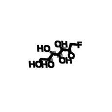 O=C(CF)[C@H](O)[C@@H](O)[C@@H](O)[C@H](O)CO